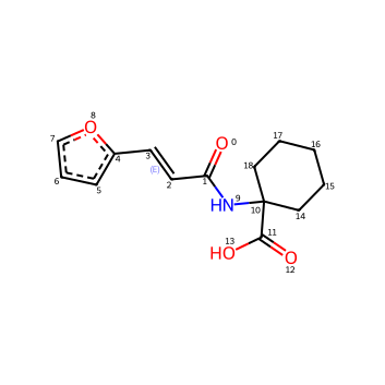 O=C(/C=C/c1ccco1)NC1(C(=O)O)CCCCC1